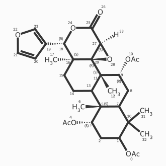 CC(=O)OC1C[C@H](OC(C)=O)[C@@]2(C)C(C[C@@H](OC(C)=O)[C@]3(C)C2CC[C@@]2(C)[C@H](c4ccoc4)OC(=O)[C@H]4O[C@]423)C1(C)C